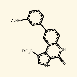 CCOC(=O)c1c[nH]c2c(=O)[nH]c3ccc(-c4cccc(NC(C)=O)c4)cc3c12